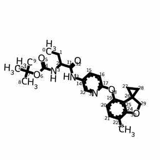 CCC(NC(=O)OC(C)(C)C)C(=O)Nc1ccc(Oc2ccc(C)c3c2C2(CC2)CO3)nc1